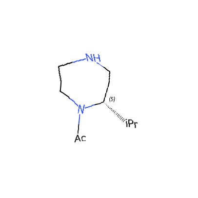 CC(=O)N1CCNC[C@@H]1C(C)C